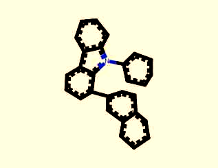 c1ccc(-n2c3ccccc3c3cccc(-c4ccc5ccccc5c4)c32)cc1